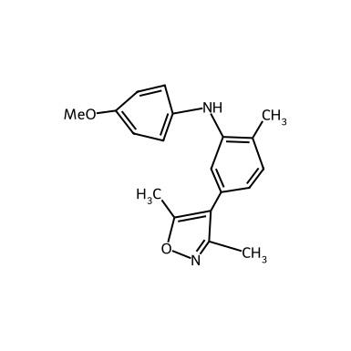 COc1ccc(Nc2cc(-c3c(C)noc3C)ccc2C)cc1